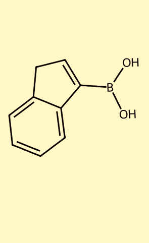 OB(O)C1=CCc2ccccc21